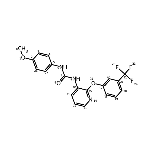 COc1ccc(NC(=O)Nc2cccnc2Oc2cccc(C(F)(F)F)c2)cc1